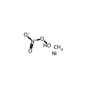 C.O=[N+]([O-])OO.[Ni]